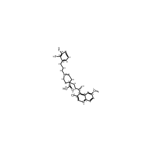 COc1ccc2ncc(Cl)c([C@H](F)CCC3(C(=O)O)CCN(CCCc4cccc(F)c4F)CC3)c2c1